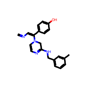 C=N/C=C(/c1ccc(O)cc1)N1C=CN=C(NCc2cccc(C)c2)C1